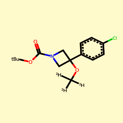 [2H]C([2H])([2H])OC1(c2ccc(Cl)cc2)CN(C(=O)OC(C)(C)C)C1